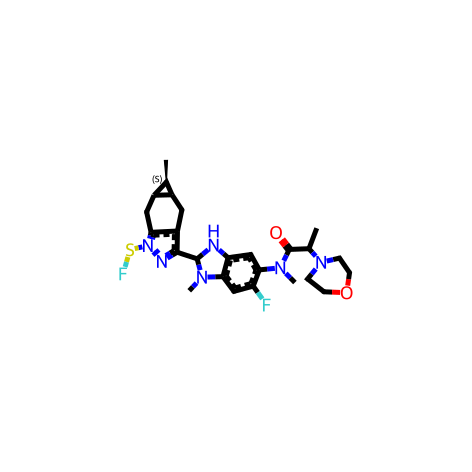 CC(C(=O)N(C)c1cc2c(cc1F)N(C)C(c1nn(SF)c3c1CC1C(C3)[C@H]1C)N2)N1CCOCC1